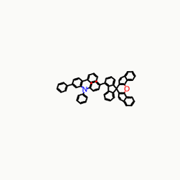 c1ccc(-c2ccc(-c3ccccc3)c(N(c3ccccc3)c3ccc(-c4cccc5c4-c4ccccc4C54c5ccc6ccccc6c5Oc5c4ccc4ccccc54)cc3)c2)cc1